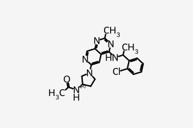 CC(=O)N[C@@H]1CCN(c2cc3c(NC(C)c4ccccc4Cl)nc(C)nc3cn2)C1